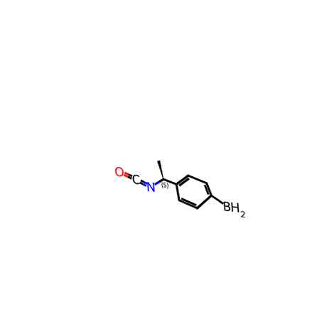 Bc1ccc([C@H](C)N=C=O)cc1